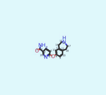 NC(=O)c1ccc(Oc2ccc3c(c2)CCNCC3)nc1